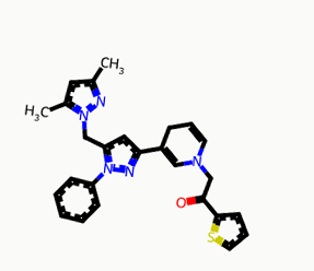 Cc1cc(C)n(Cc2cc(C3=CN(CC(=O)c4cccs4)C=CC3)nn2-c2ccccc2)n1